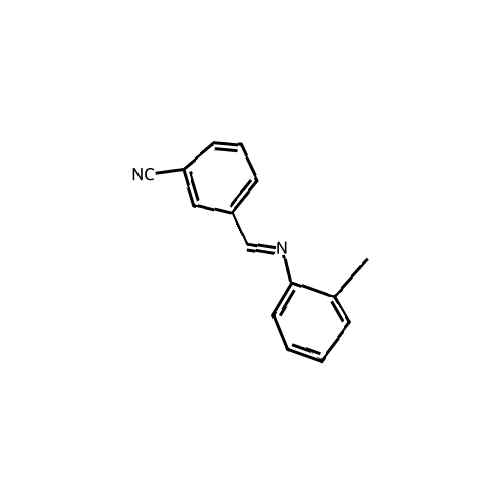 Cc1ccccc1N=Cc1cccc(C#N)c1